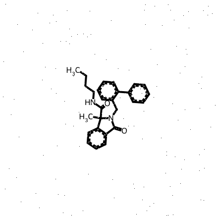 CCCCNC(=O)C1(C)c2ccccc2C(=O)N1Cc1ccccc1-c1ccccc1